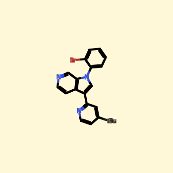 CC(C)(C)c1ccnc(-c2cn(-c3ccccc3Br)c3cnccc23)c1